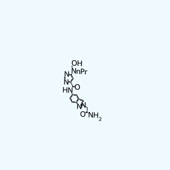 CCCN(CO)c1cc(C(=O)Nc2ccc3nn(CC(N)=O)cc3c2)ncn1